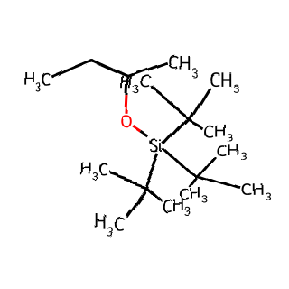 CCC(C)O[Si](C(C)(C)C)(C(C)(C)C)C(C)(C)C